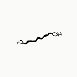 OC/C=C/C=C/CCCO